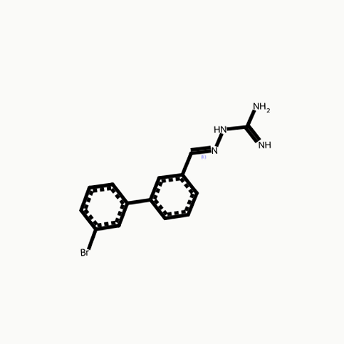 N=C(N)N/N=C/c1cccc(-c2cccc(Br)c2)c1